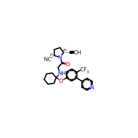 C#C[C@H]1CC[C@@H](C#N)N1C(=O)CNC1(Oc2ccc(C(F)(F)F)c(-c3ccncc3)c2)CCCCC1